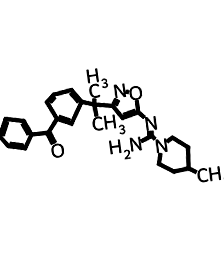 CC1CCN(/C(N)=N/c2cc(C(C)(C)c3cccc(C(=O)c4ccccc4)c3)no2)CC1